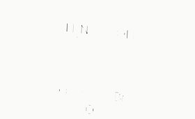 COC(=O)c1cc(N)c(O)cc1Br